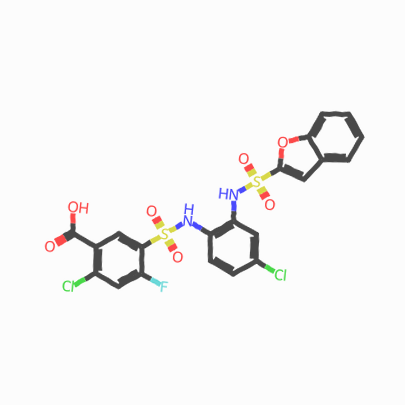 O=C(O)c1cc(S(=O)(=O)Nc2ccc(Cl)cc2NS(=O)(=O)c2cc3ccccc3o2)c(F)cc1Cl